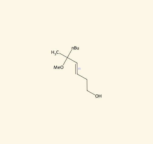 CCCCC(C)(/C=C/CCO)OC